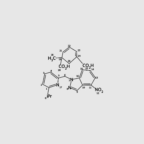 CC(C)c1cccc(Cn2ncc3c([N+](=O)[O-])cccc32)n1.CC1(C(=O)O)C=CC=C(C(=O)O)C1